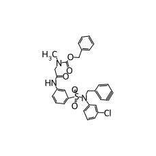 CN(CC(=O)Nc1cccc(S(=O)(=O)N(Cc2cc#ccc2)c2cccc(Cl)c2)c1)C(=O)OCc1ccccc1